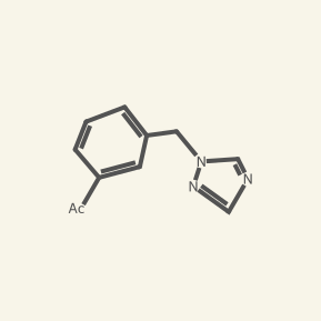 CC(=O)c1cccc(Cn2cncn2)c1